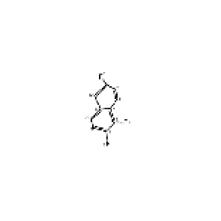 Fc1[c]cc2c(F)c(F)[c]cc2c1